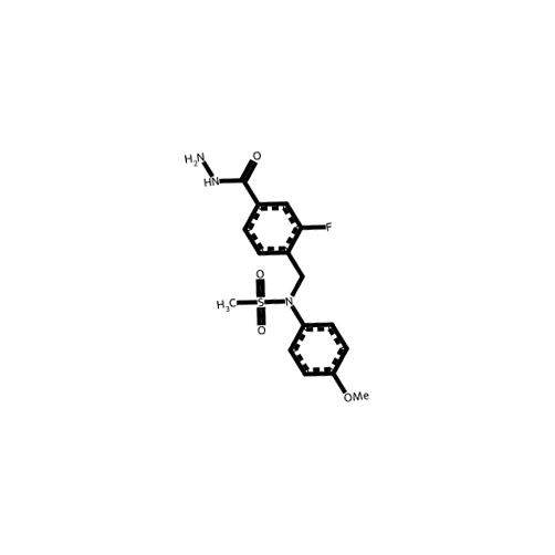 COc1ccc(N(Cc2ccc(C(=O)NN)cc2F)S(C)(=O)=O)cc1